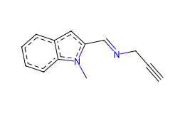 C#CCN=Cc1cc2ccccc2n1C